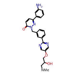 CNCC(O)COc1cnc(-c2cccc(Cn3nc(-c4cccc(N)c4)ccc3=O)c2)nc1